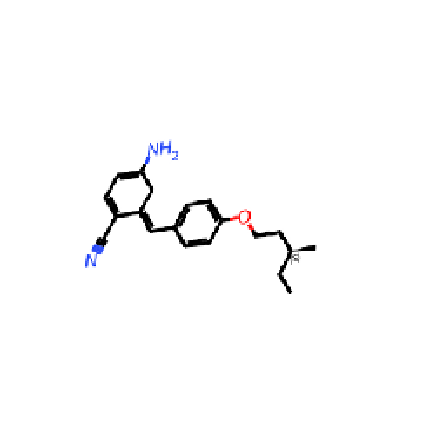 CC[C@H](C)CCOc1ccc(C=C2CC(N)=CC=C2C#N)cc1